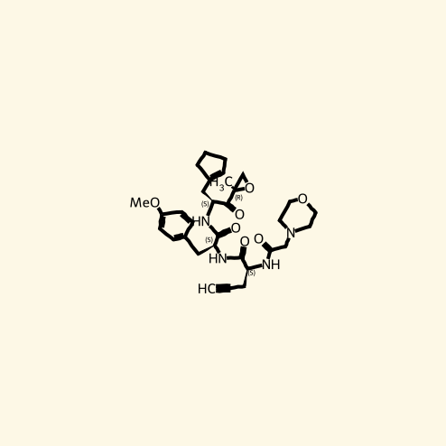 C#CC[C@H](NC(=O)CN1CCOCC1)C(=O)N[C@@H](Cc1ccc(OC)cc1)C(=O)N[C@@H](CC1=CCCC1)C(=O)[C@@]1(C)CO1